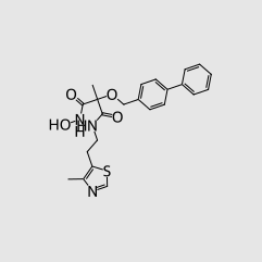 Cc1ncsc1CCNC(=O)C(C)(OCc1ccc(-c2ccccc2)cc1)C(=O)NO